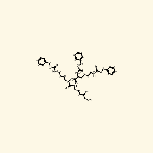 O=C(CO)CCCNC(=O)C(CCCCNC(=O)OCc1ccccc1)NC(=O)C(CCCCNC(=O)OCc1ccccc1)NC(=O)OCc1ccccc1